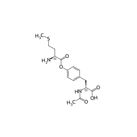 CSCC[C@H](N)C(=O)Oc1ccc(C[C@H](NC(C)=O)C(=O)O)cc1